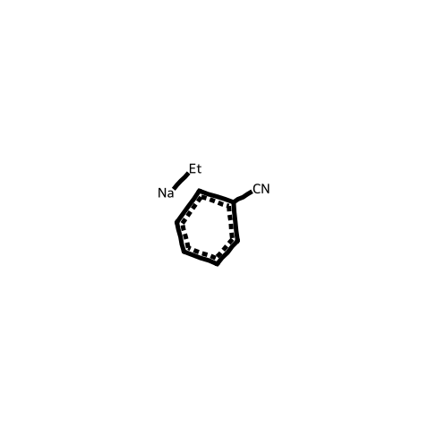 C[CH2][Na].N#Cc1ccccc1